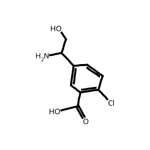 NC(CO)c1ccc(Cl)c(C(=O)O)c1